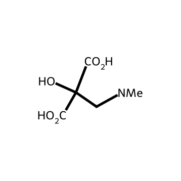 CNCC(O)(C(=O)O)C(=O)O